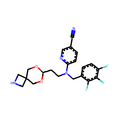 N#Cc1ccc(N(CCC2OCC3(CNC3)CO2)Cc2ccc(F)c(F)c2F)nc1